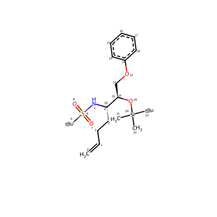 C=CCC[C@H](NS(=O)(=O)C(C)(C)C)[C@@H](COc1ccccc1)O[Si](C)(C)C(C)(C)C